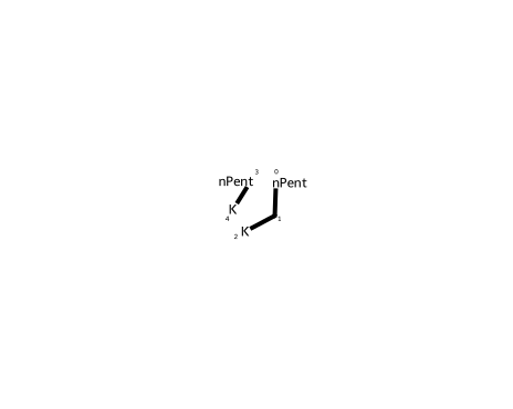 CCCCC[CH2][K].CCCC[CH2][K]